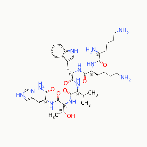 CC(C)[C@H](NC(=O)[C@H](Cc1c[nH]c2ccccc12)NC(=O)[C@H](CCCCN)NC(=O)[C@@H](N)CCCCN)C(=O)N[C@H](C(=O)N[C@@H](Cc1c[nH]cn1)C(N)=O)[C@@H](C)O